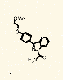 COCCOc1ccc(-c2nn(C(N)=O)c3cc[c]cc23)cc1